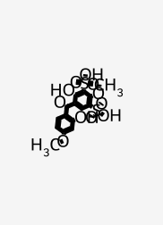 COc1ccc(C(=O)c2cc(S(=O)(=O)O)c(OC)c(S(=O)(=O)O)c2O)c(O)c1